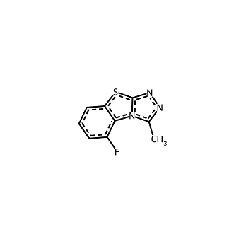 Cc1nnc2sc3cccc(F)c3n12